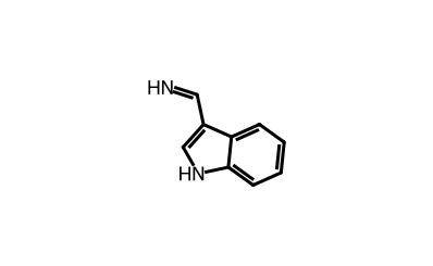 N=Cc1c[nH]c2ccccc12